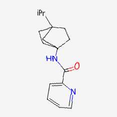 CC(C)C12CCC(NC(=O)c3ccccn3)(CC1)C2